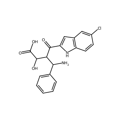 NC(c1ccccc1)C(C(=O)c1cc2cc(Cl)ccc2[nH]1)C(O)C(=O)O